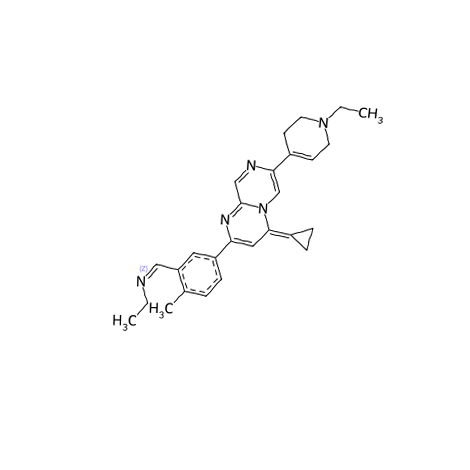 CC/N=C\c1cc(C2=CC(=C3CC3)N3C=C(C4=CCN(CC)CC4)N=CC3=N2)ccc1C